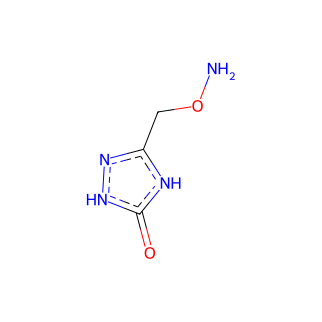 NOCc1n[nH]c(=O)[nH]1